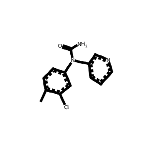 Cc1ccc(N(C(N)=O)c2cccnc2)cc1Cl